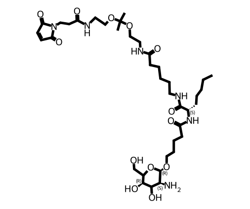 CCCCC[C@H](NC(=O)CCCCO[C@@H]1OC(CO)[C@H](O)C(O)[C@@H]1N)C(=O)NCCCCCC(=O)NCCOC(C)(C)OCCNC(=O)CCN1C(=O)C=CC1=O